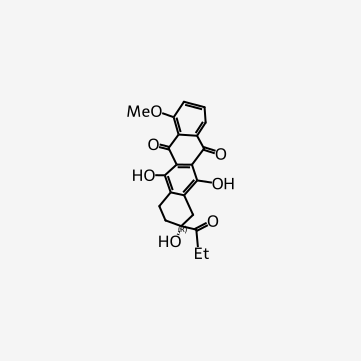 CCC(=O)[C@@]1(O)CCc2c(O)c3c(c(O)c2C1)C(=O)c1cccc(OC)c1C3=O